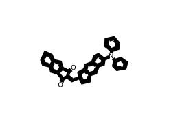 O=C1C(=Cc2ccc3cc4cc(N(c5ccccc5)c5ccccc5)ccc4cc3c2)C(=O)c2cc3ccccc3cc21